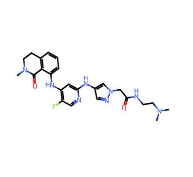 CN(C)CCNC(=O)Cn1cc(Nc2cc(Nc3cccc4c3C(=O)N(C)CC4)c(F)cn2)cn1